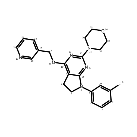 Fc1cccc(N2CCc3c(OCc4cccnc4)nc(N4CCOCC4)nc32)c1